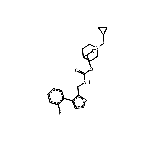 O=C(NCc1sccc1-c1ccccc1F)OC1C[N+]2(CC3CC3)CCC1CC2